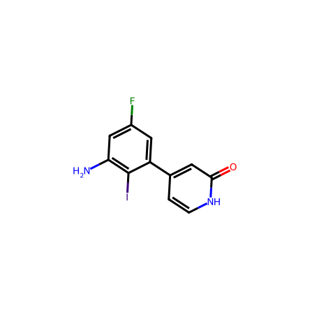 Nc1cc(F)cc(-c2cc[nH]c(=O)c2)c1I